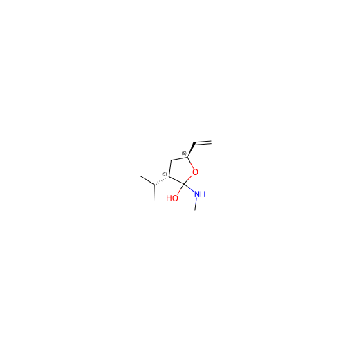 C=C[C@@H]1C[C@@H](C(C)C)C(O)(NC)O1